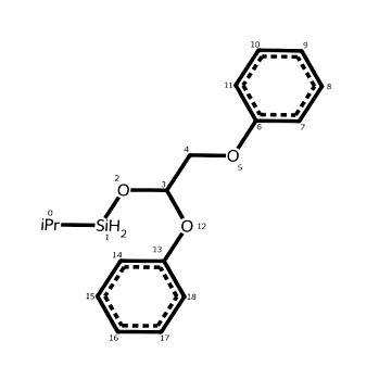 CC(C)[SiH2]OC(COc1ccccc1)Oc1ccccc1